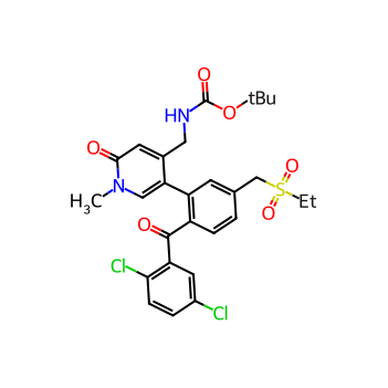 CCS(=O)(=O)Cc1ccc(C(=O)c2cc(Cl)ccc2Cl)c(-c2cn(C)c(=O)cc2CNC(=O)OC(C)(C)C)c1